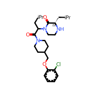 CC(C)CC(C(=O)N1CCC(COc2ccccc2Cl)CC1)N1CCN[C@@H](CC(C)C)C1=O